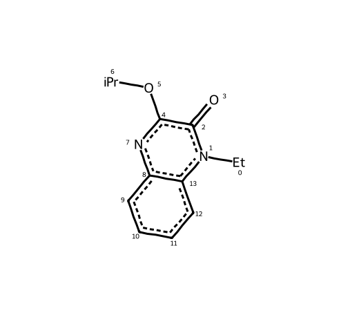 CCn1c(=O)c(OC(C)C)nc2ccccc21